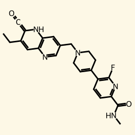 CCC1=Cc2ncc(CN3CC=C(c4ccc(C(=O)NC)nc4F)CC3)cc2NC1=C=O